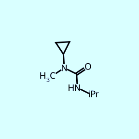 CC(C)NC(=O)N(C)C1CC1